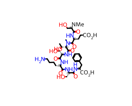 CN[C@@H](CO)C(=O)N[C@@H](CCC(=O)O)C(=O)N(C)[C@H](C(=O)N[C@@H](CO)C(=O)N[C@@H](CCCCN)C(=O)N[C@@H](CO)C(=O)N[C@@H](Cc1ccccc1)C(=O)O)C(C)O